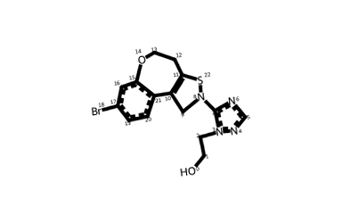 OCCn1ncnc1N1CC2=C(CCOc3cc(Br)ccc32)S1